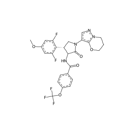 COc1cc(F)c([C@@H]2CN(c3cnn4c3OCCC4)C(=O)C2NC(=O)c2ccc(OC(F)(F)F)cc2)c(F)c1